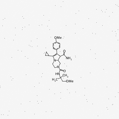 COCC(C)(C)NC(=O)N1CCN2C(C3CC3)=C(c3ccc(OC)cc3)C(C(N)=O)C2C1